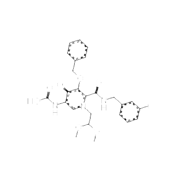 COC(Cn1cc(NC(=O)O)c(=O)c(OCc2ccccc2)c1C(=O)NCc1cccc(Cl)c1)OC